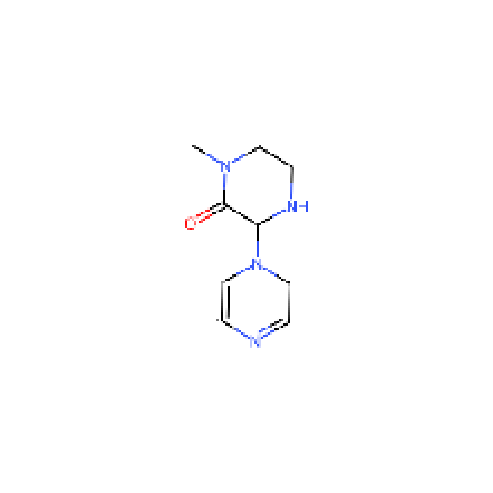 CN1CCNC(N2C=[C]N=CC2)C1=O